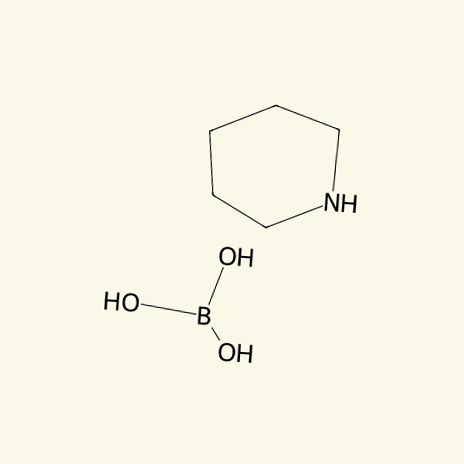 C1CCNCC1.OB(O)O